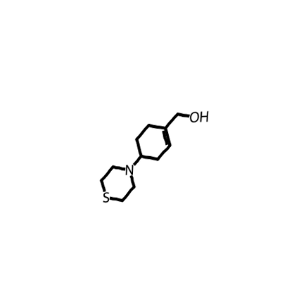 OCC1=CCC(N2CCSCC2)CC1